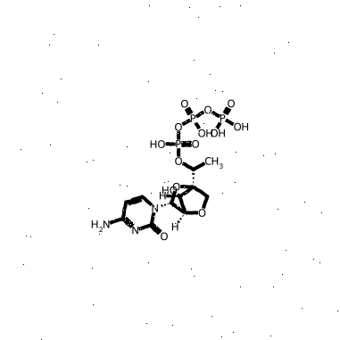 CC(OP(=O)(O)OP(=O)(O)OP(=O)(O)O)[C@@]12CO[C@@H]([C@H](n3ccc(N)nc3=O)O1)[C@@H]2O